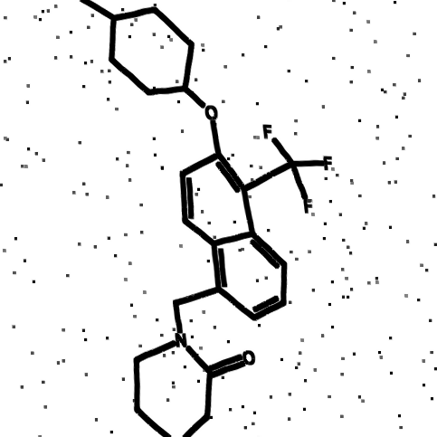 CC1CCC(Oc2ccc3c(CN4CCCCC4=O)cccc3c2C(F)(F)F)CC1